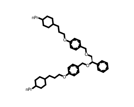 CCCC1CCC(CCCOc2ccc(COC[C@H](OCc3ccc(OCCCC4CCC(CCC)CC4)cc3)c3ccccc3)cc2)CC1